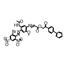 COc1cc(N=Nc2c(Br)cc([N+](=O)[O-])cc2[N+](=O)[O-])c(NC(C)=O)cc1NCCC(=O)OCC(=O)c1ccc(-c2ccccc2)cc1